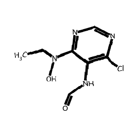 CCN(O)c1ncnc(Cl)c1NC=O